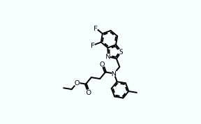 CCOC(=O)CCC(=O)N(Cc1nc2c(F)c(F)ccc2s1)c1cccc(C)c1